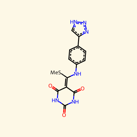 CSC(Nc1ccc(-c2c[nH]nn2)cc1)=C1C(=O)NC(=O)NC1=O